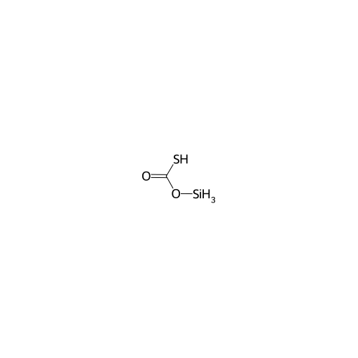 O=C(S)O[SiH3]